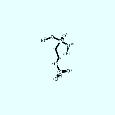 CCOP(=O)(CCO[SH](=O)=O)OCC